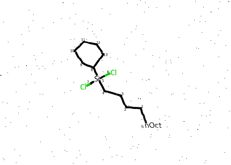 CCCCCCCCCCCC[Si](Cl)(Cl)C1CCCCC1